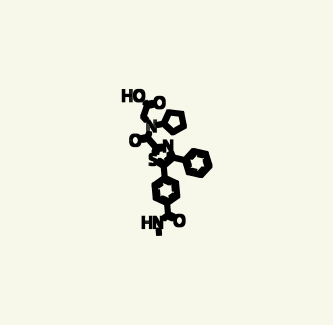 CNC(=O)c1ccc(-c2sc(C(=O)N(CC(=O)O)C3CCCC3)nc2-c2ccccc2)cc1